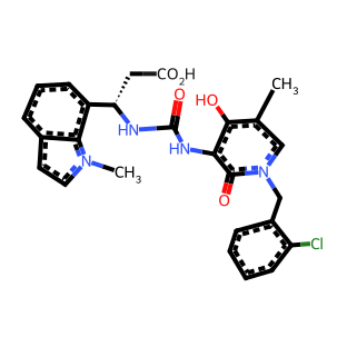 Cc1cn(Cc2ccccc2Cl)c(=O)c(NC(=O)N[C@@H](CC(=O)O)c2cccc3ccn(C)c23)c1O